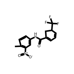 Cc1ccc(NC(=O)C2=CC=CC(C(F)(F)F)C2)cc1[N+](=O)[O-]